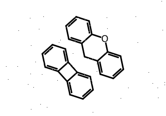 c1ccc2c(c1)-c1ccccc1-2.c1ccc2c(c1)Cc1ccccc1O2